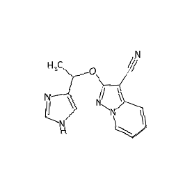 CC(Oc1nn2ccccc2c1C#N)c1c[nH]cn1